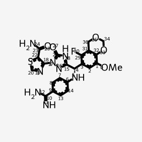 COc1cc([C@H](Nc2ccc(C(=N)N)cc2)c2nn(-c3ncsc3C(N)=O)c(=O)[nH]2)c(F)c2c1OCOC2